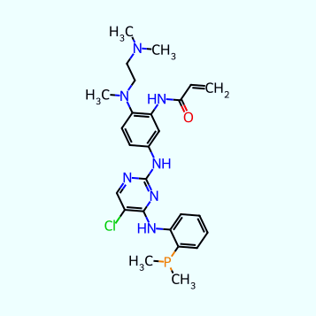 C=CC(=O)Nc1cc(Nc2ncc(Cl)c(Nc3ccccc3P(C)C)n2)ccc1N(C)CCN(C)C